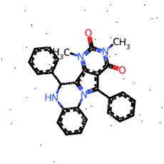 Cn1c(=O)c2c(-c3ccccc3)n3c(c2n(C)c1=O)C(c1ccccc1)Nc1ccccc1-3